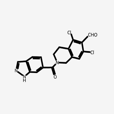 O=Cc1c(Cl)cc2c(c1Cl)CCN(C(=O)c1ccc3cn[nH]c3c1)C2